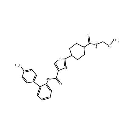 COCNC(=S)N1CCC(c2nc(C(=O)Nc3ccccc3-c3ccc(C)cc3)cs2)CC1